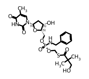 Cc1cn([C@@H]2C[C@H](O)[C@H](COP(=O)(NCc3ccccc3)OCSC(=O)C(C)(C)CO)O2)c(=O)[nH]c1=O